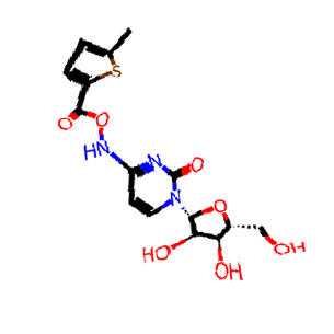 Cc1ccc(C(=O)ONc2ccn([C@@H]3O[C@H](CO)[C@@H](O)[C@H]3O)c(=O)n2)s1